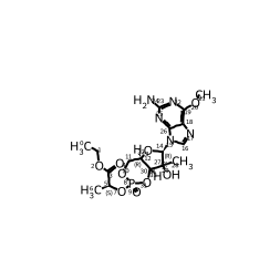 CCOC(=O)[C@H](C)OP1(=O)OC[C@H]2O[C@@H](n3cnc4c(OC)nc(N)nc43)[C@](C)(O)[C@@H]2O1